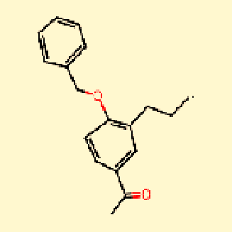 [CH2]CCc1cc(C(C)=O)ccc1OCc1ccccc1